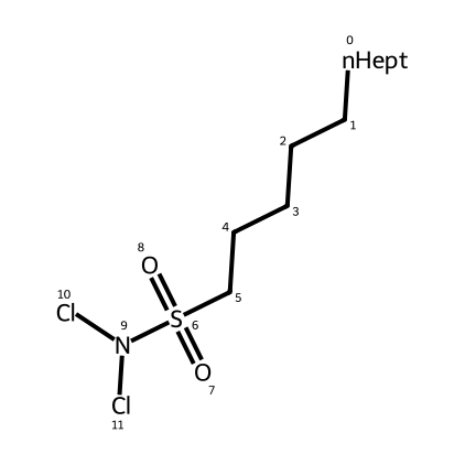 CCCCCCCCCCCCS(=O)(=O)N(Cl)Cl